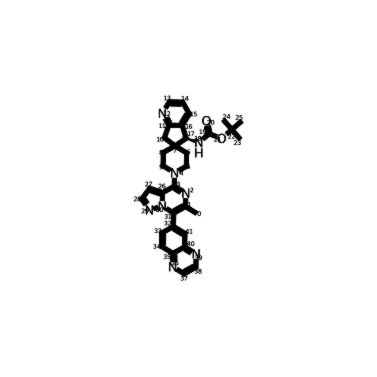 Cc1nc(N2CCC3(CC2)Cc2ncccc2[C@H]3NC(=O)OC(C)(C)C)c2ccnn2c1-c1ccc2nccnc2c1